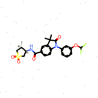 C[C@H]1CS(=O)(=O)C[C@@H]1NC(=O)c1ccc2c(c1)C(C)(C)C(=O)N2c1cccc(OC(F)F)c1